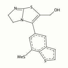 CSc1cc(C2=C(CO)SC3=NCCN32)cc2ccsc12